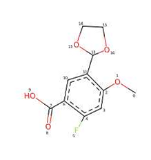 COc1cc(F)c(C(=O)O)cc1C1OCCO1